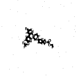 CCOC(=O)N1CC2(CC[C@@H](N3CCN(c4ncc(F)cc4-c4ccc(OC(F)F)nc4)CC3)C2)C1